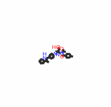 Cc1c(-c2ccc(-n3cc(C(=O)O)c(N(C(=O)C4CCC(C)CC4)C(C)C)n3)cc2)[nH]c2ccccc12